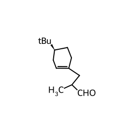 CC(C=O)CC1=CC[C@@H](C(C)(C)C)CC1